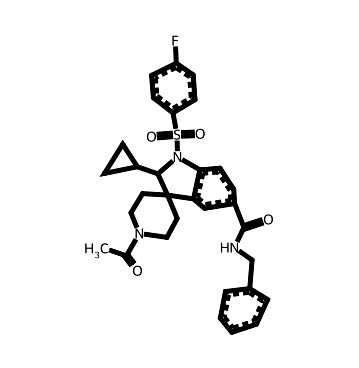 CC(=O)N1CCC2(CC1)c1cc(C(=O)NCc3ccccc3)ccc1N(S(=O)(=O)c1ccc(F)cc1)C2C1CC1